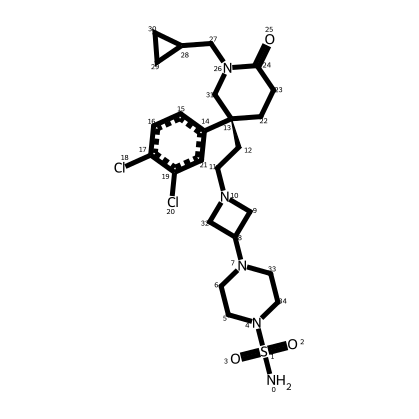 NS(=O)(=O)N1CCN(C2CN(CC[C@]3(c4ccc(Cl)c(Cl)c4)CCC(=O)N(CC4CC4)C3)C2)CC1